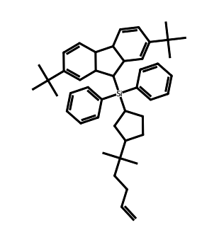 C=CCCC(C)(C)C1CCC([Si](c2ccccc2)(c2ccccc2)C2C3C=C(C(C)(C)C)C=CC3C3C=CC(C(C)(C)C)=CC32)C1